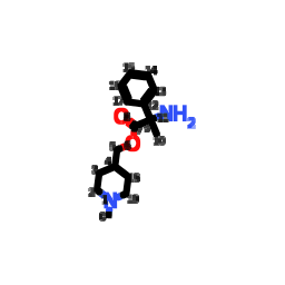 CN1CCC(COC(=O)C(C)(N)c2ccccc2)CC1